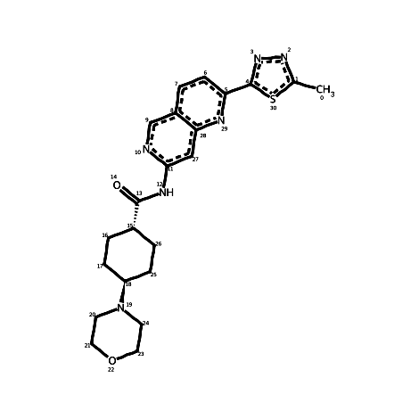 Cc1nnc(-c2ccc3cnc(NC(=O)[C@H]4CC[C@H](N5CCOCC5)CC4)cc3n2)s1